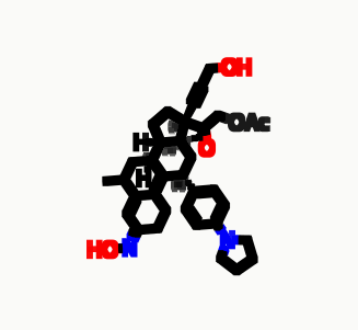 CC(=O)OCC(=O)[C@@]1(C#CCO)CC[C@H]2[C@@H]3CC(C)C4=CC(=NO)CCC4=C3[C@@H](c3ccc(N4CCCC4)cc3)C[C@@]21C